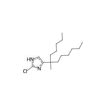 CCCCCCC(C)(CCCCC)c1c[nH]c(Cl)n1